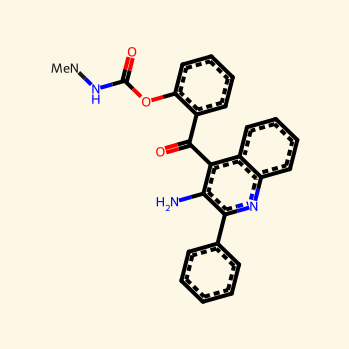 CNNC(=O)Oc1ccccc1C(=O)c1c(N)c(-c2ccccc2)nc2ccccc12